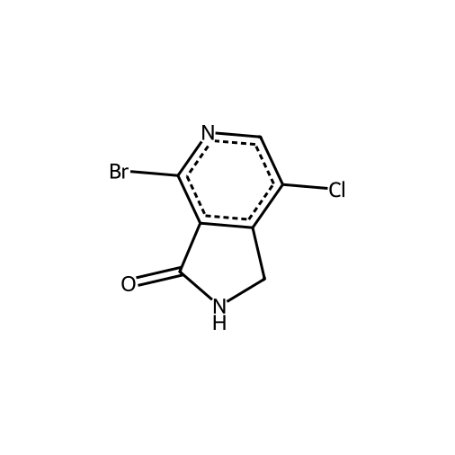 O=C1NCc2c(Cl)cnc(Br)c21